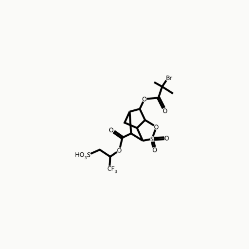 CC(C)(Br)C(=O)OC1C2CC3C1OS(=O)(=O)C3C2C(=O)OC(CS(=O)(=O)O)C(F)(F)F